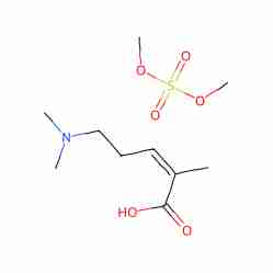 CC(=CCCN(C)C)C(=O)O.COS(=O)(=O)OC